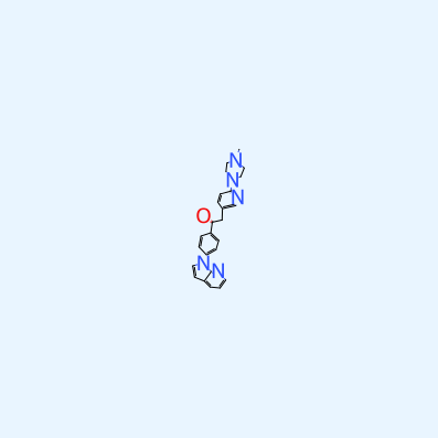 CN1CCN(c2ccc(CC(=O)c3ccc(-n4ccc5cccnc54)cc3)cn2)CC1